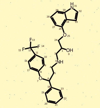 OC(CNCCC(Oc1ccc(C(F)(F)F)cc1)c1ccccc1)COc1cccc2[nH]ccc12